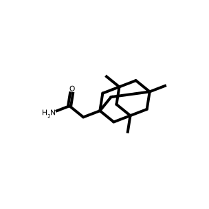 CC12CC3(C)CC(C)(C1)CC(CC(N)=O)(C2)C3